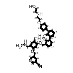 CNCc1cc(Cl)c(OCc2cccc(-c3cccc(-c4ccc(OCCNCCO)cc4)c3C)c2C)cc1OCc1cncc(C#N)c1